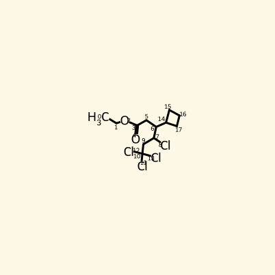 CCOC(=O)CC(C(Cl)CC(Cl)(Cl)Cl)C1CCC1